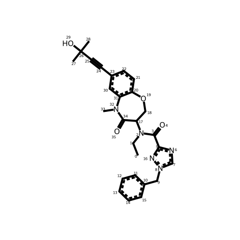 CCN(C(=O)c1ncn(Cc2ccccc2)n1)C1COc2ccc(C#CC(C)(C)O)cc2N(C)C1=O